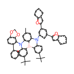 Cc1cc2c3c(c1)N(c1c(-c4ccccc4)ccc4c1OCO4)c1ccc(C(C)(C)C)cc1B3c1cc(C(C)(C)C)ccc1N2c1cc(-c2cc3ccccc3o2)cc(-c2cc3ccccc3o2)c1